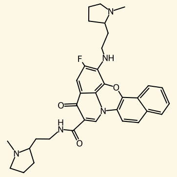 CN1CCCC1CCNC(=O)c1cn2c3c(c(NCCC4CCCN4C)c(F)cc3c1=O)Oc1c-2ccc2ccccc12